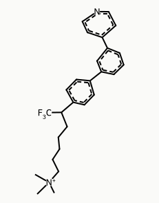 C[N+](C)(C)CCCCCC(c1ccc(-c2cccc(-c3ccncc3)c2)cc1)C(F)(F)F